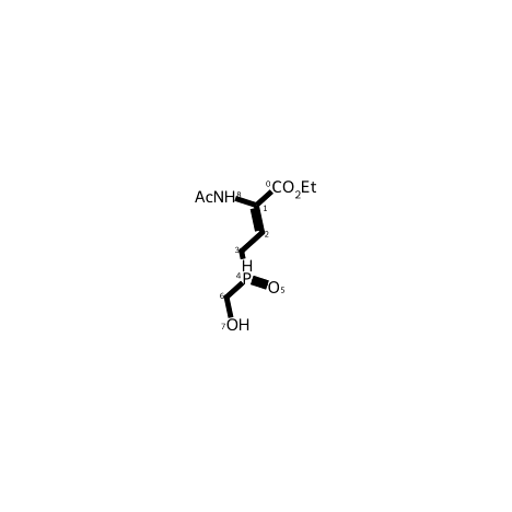 CCOC(=O)C(=CC[PH](=O)CO)NC(C)=O